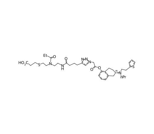 CCCN(CCc1cccs1)[C@@H]1CCc2c(cccc2OC(=O)Cn2cc(CCCC(=O)NCCN(CCSCCC(=O)O)C(=O)CC)nn2)C1